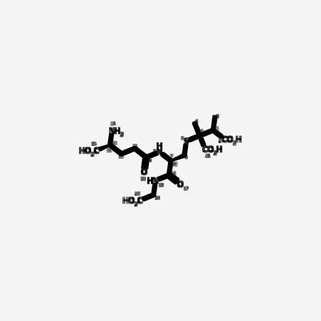 CC(C(=O)O)C(C)(SC[C@H](NC(=O)CC[C@H](N)C(=O)O)C(=O)NCC(=O)O)C(=O)O